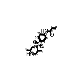 C=CC(=O)Nc1ccc(S(=O)(=O)N2CC(C)NCC2C)cc1